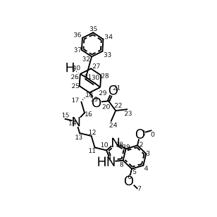 COc1ccc(OC)c2[nH]c(CCCN(C)CC[C@]3(OC(=O)C(C)C)C[C@H]4CCC3C=C4c3ccccc3)nc12